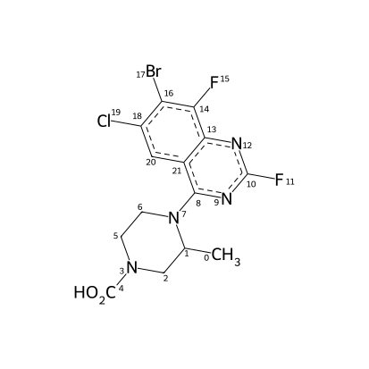 CC1CN(C(=O)O)CCN1c1nc(F)nc2c(F)c(Br)c(Cl)cc12